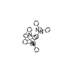 c1ccc(-c2cc(-c3ccccc3)nc(-c3ccc(-c4nc(-c5ccccc5)nc5c4C4(c6ccccc6-5)c5ccccc5-n5c6ccccc6c6cccc4c65)cc3)n2)cc1